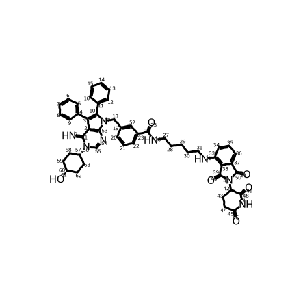 N=c1c2c(-c3ccccc3)c(-c3ccccc3)n(Cc3cccc(C(=O)NCCCCCNc4cccc5c4C(=O)N(C4CCC(=O)NC4=O)C5=O)c3)c2ncn1[C@H]1CC[C@H](O)CC1